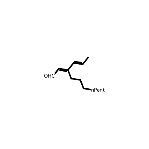 CC=CC(=CC=O)CCCCCCCC